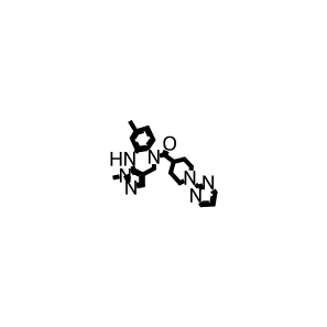 Cc1ccc2c(c1)Nc1c(cnn1C)CN2C(=O)C1CCN(c2ncccn2)CC1